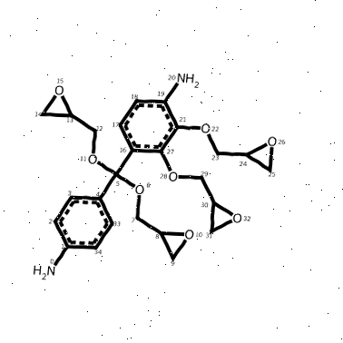 Nc1ccc(C(OCC2CO2)(OCC2CO2)c2ccc(N)c(OCC3CO3)c2OCC2CO2)cc1